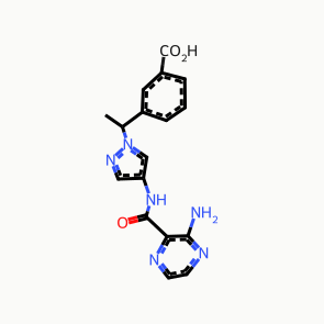 CC(c1cccc(C(=O)O)c1)n1cc(NC(=O)c2nccnc2N)cn1